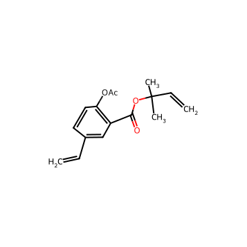 C=Cc1ccc(OC(C)=O)c(C(=O)OC(C)(C)C=C)c1